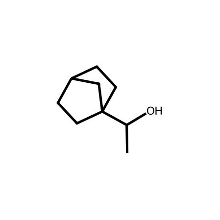 CC(O)C12CCC(CC1)C2